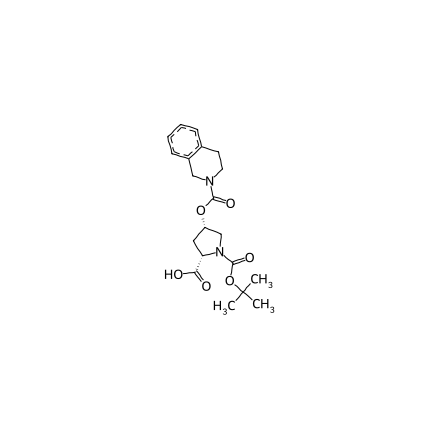 CC(C)(C)OC(=O)N1C[C@@H](OC(=O)N2CCc3ccccc3C2)C[C@H]1C(=O)O